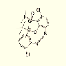 CN(C)S(=O)(=O)c1c(Cl)ccc(N=C=Nc2ccccc2Cl)c1O[Si](C)(C)C(C)(C)C